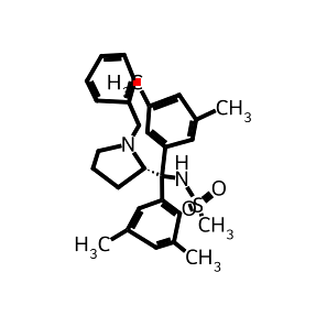 Cc1cc(C)cc(C(NS(C)(=O)=O)(c2cc(C)cc(C)c2)[C@@H]2CCCN2Cc2ccccc2)c1